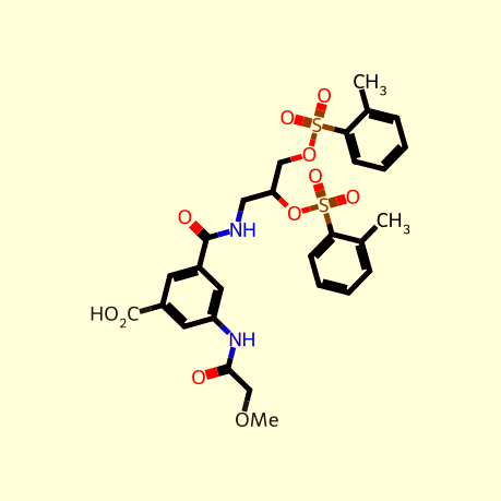 COCC(=O)Nc1cc(C(=O)O)cc(C(=O)NCC(COS(=O)(=O)c2ccccc2C)OS(=O)(=O)c2ccccc2C)c1